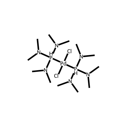 CN(C)[PH](N(C)C)(N(C)C)[Pd]([Cl])([Cl])[PH](N(C)C)(N(C)C)N(C)C